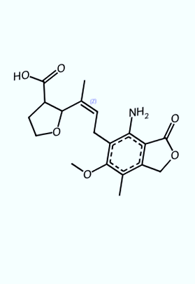 COc1c(C)c2c(c(N)c1C/C=C(/C)C1OCCC1C(=O)O)C(=O)OC2